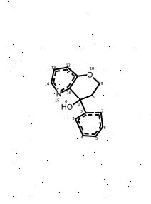 OC1(c2ccccc2)CCOc2cccnc21